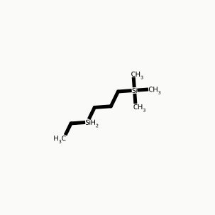 CC[SiH2]CCC[Si](C)(C)C